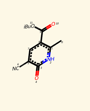 Cc1[nH]c(=O)c(C#N)cc1C(=O)OCC(C)C